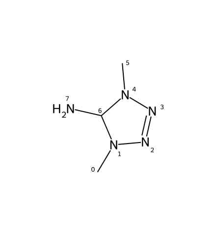 CN1N=NN(C)C1N